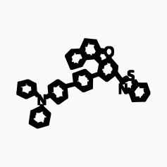 c1ccc(N(c2ccccc2)c2ccc(-c3ccc(-c4cc(-c5nc6ccccc6s5)cc5oc6ccc7ccccc7c6c45)cc3)cc2)cc1